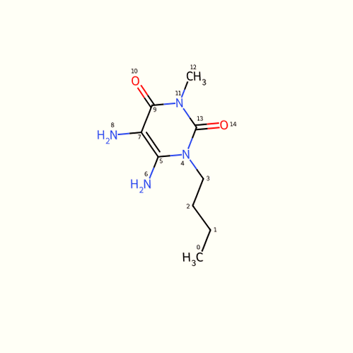 CCCCn1c(N)c(N)c(=O)n(C)c1=O